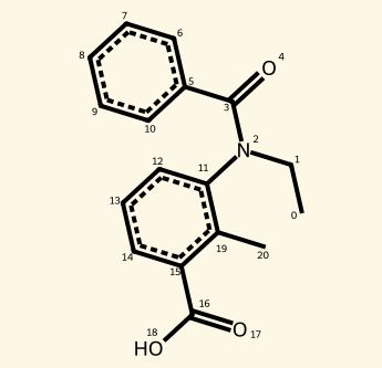 CCN(C(=O)c1ccccc1)c1cccc(C(=O)O)c1C